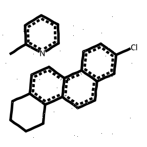 Cc1ccccn1.Clc1ccc2c(ccc3c4c(ccc32)CCCC4)c1